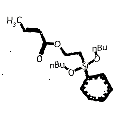 CC=CC(=O)OCC[Si](OCCCC)(OCCCC)c1ccccc1